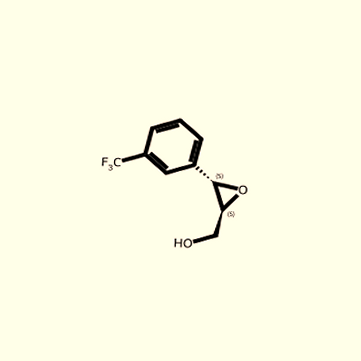 OC[C@@H]1O[C@H]1c1cccc(C(F)(F)F)c1